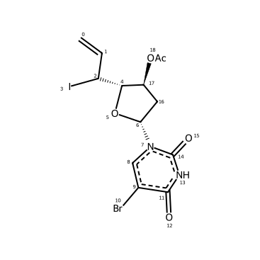 C=CC(I)[C@H]1O[C@@H](n2cc(Br)c(=O)[nH]c2=O)C[C@@H]1OC(C)=O